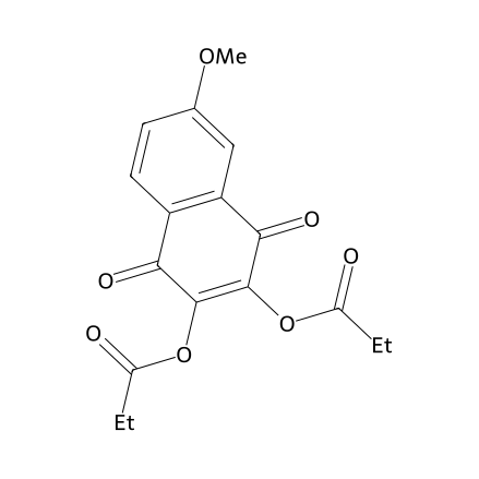 CCC(=O)OC1=C(OC(=O)CC)C(=O)c2cc(OC)ccc2C1=O